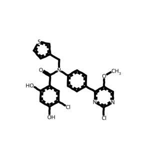 COc1cnc(Cl)nc1-c1ccc(N(Cc2ccsc2)C(=O)c2cc(Cl)c(O)cc2O)cc1